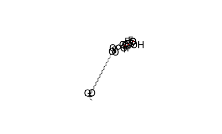 CCC(C)(C)C(=O)OCCCCCCCCCCCCCCCCCCCCOS(=O)(=O)c1ccc(OS(=O)(=O)C(F)(F)C(F)(F)C(F)(F)S(=O)(=O)O)cc1